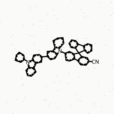 N#Cc1ccc2c(c1)C1(c3ccccc3-c3ccccc31)c1cc(-n3c4ccccc4c4cc(-c5ccc6c(c5)c5ccccc5n6-c5ccccc5)ccc43)ccc1-2